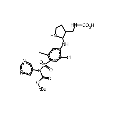 CC(C)(C)OC(=O)N(c1cncnc1)S(=O)(=O)c1cc(Cl)c(NC2NCCC2CNC(=O)O)cc1F